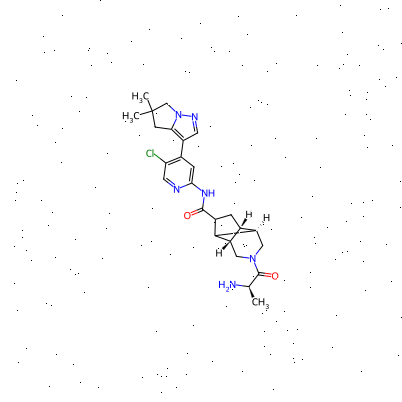 C[C@@H](N)C(=O)N1C[C@@H]2C3C(C(=O)Nc4cc(-c5cnn6c5CC(C)(C)C6)c(Cl)cn4)C[C@@H]2[C@H]3C1